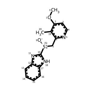 COc1ccnc(C[S@@+]([O-])c2nc3ccccc3[nH]2)c1C